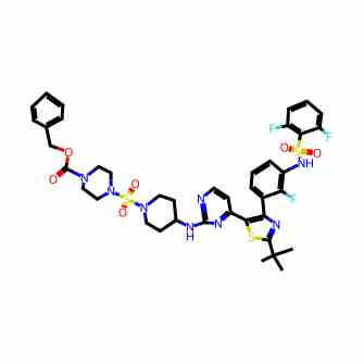 CC(C)(C)c1nc(-c2cccc(NS(=O)(=O)c3c(F)cccc3F)c2F)c(-c2ccnc(NC3CCN(S(=O)(=O)N4CCN(C(=O)OCc5ccccc5)CC4)CC3)n2)s1